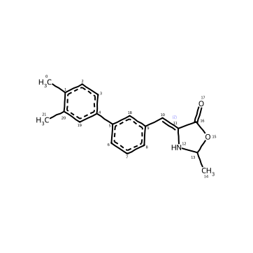 Cc1ccc(-c2cccc(/C=C3\NC(C)OC3=O)c2)cc1C